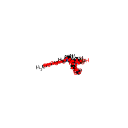 COCCOCCOCCOCCOCCOCCN1c2cc3c(cc2C(C)=CC1(C)C)C(/C=C1\N(CCCCCC(=O)ON2C(=O)CCC2=O)c2ccc(S(=O)(=O)O)cc2C1(C)C)=CC(c1ccccc1)O3